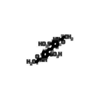 C=CC(=O)Nc1ccc(C=Cc2ccc(NC(=O)C=C)cc2S(=O)(=O)O)c(S(=O)(=O)O)c1